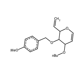 C=CC1OC=CC(OCCCC)C1OCc1ccc(OC)cc1